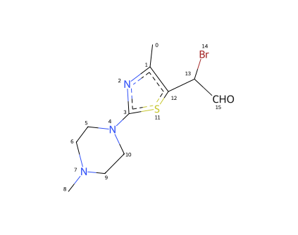 Cc1nc(N2CCN(C)CC2)sc1C(Br)C=O